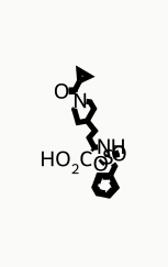 O=C(O)[C@@H](CCC1CCN(C(=O)C2CC2)CC1)NS(=O)(=O)Cc1ccccc1